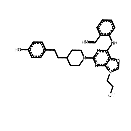 N=Cc1ccccc1Nc1nc(N2CCC(CCc3ccc(O)cc3)CC2)nc2c1ncn2CCO